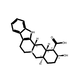 O=C(O)[C@@H]1[C@H]2C[C@H]3c4[nH]c5ccccc5c4CCN3C[C@@H]2CC[C@@H]1O